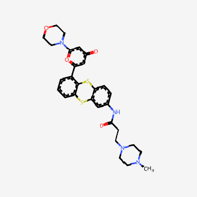 CN1CCN(CCC(=O)Nc2ccc3c(c2)Sc2cccc(-c4cc(=O)cc(N5CCOCC5)o4)c2S3)CC1